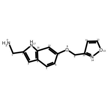 NCc1cc2ccc(OCc3ccon3)cc2[nH]1